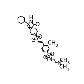 Cc1cc(S(=O)(=O)NCCN(C)C)ccc1/C=C/S(=O)(=O)N1CCC2(CC1)N=C(C1CCCCC1)NC2=O